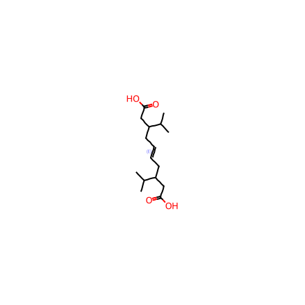 CC(C)C(C/C=C/CC(CC(=O)O)C(C)C)CC(=O)O